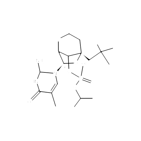 CC1=CN([C@@H]2O[C@@]3(CC(C)(C)C)CCOC2C3OP(O)(=S)OC(C)C)C(N)NC1=O